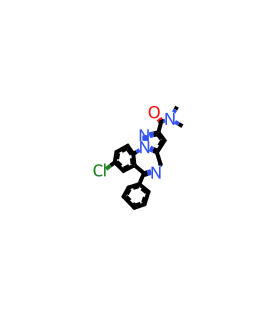 CN(C)C(=O)c1cc2n(n1)-c1ccc(Cl)cc1C(c1ccccc1)=NC2